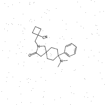 CN(C)C1(c2ccccc2)CCC2(CC1)CC(=O)N(CC1(C#N)CCC1)C2